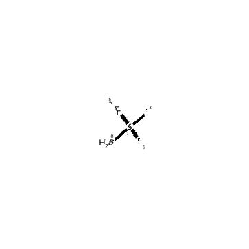 BS(F)(F)F